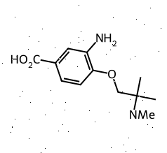 CNC(C)(C)COc1ccc(C(=O)O)cc1N